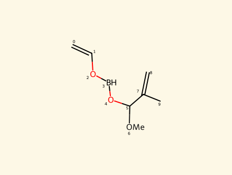 C=COBOC(OC)C(=C)C